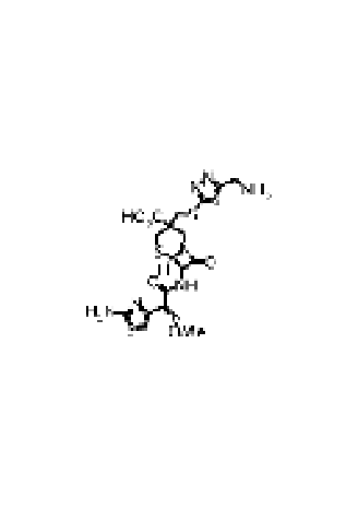 CON=C(C(=O)NC1C(=O)N2CC(CSc3nnc(CN)s3)(C(=O)O)CS[C@H]12)c1csc(N)n1